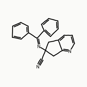 N#CC1(N=C(c2ccccc2)c2ccccc2)Cc2cccnc2C1